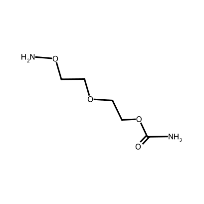 NOCCOCCOC(N)=O